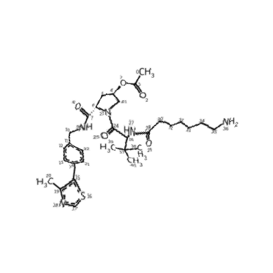 CC(=O)O[C@@H]1C[C@@H](C(=O)NCc2ccc(-c3scnc3C)cc2)N(C(=O)C(NC(=O)CCCCCCN)C(C)(C)C)C1